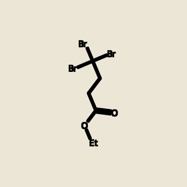 CCOC(=O)CCC(Br)(Br)Br